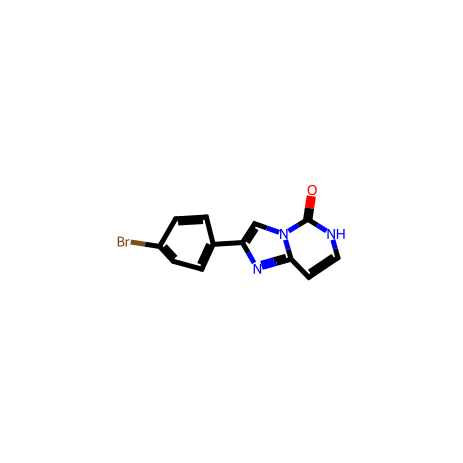 O=c1[nH]ccc2nc(-c3ccc(Br)cc3)cn12